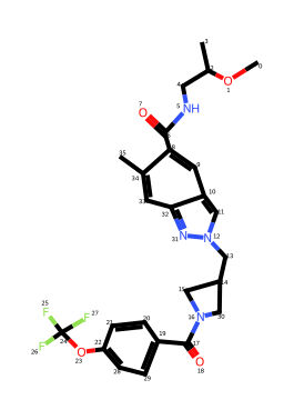 COC(C)CNC(=O)c1cc2cn(CC3CN(C(=O)c4ccc(OC(F)(F)F)cc4)C3)nc2cc1C